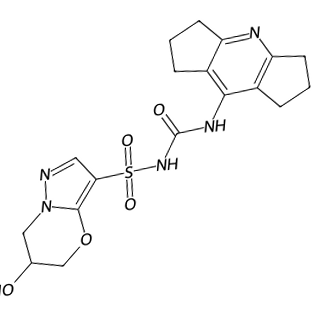 O=C(Nc1c2c(nc3c1CCC3)CCC2)NS(=O)(=O)c1cnn2c1OCC(O)C2